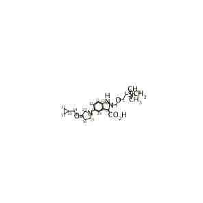 C[Si](C)(C)CCOCN1Nc2ccc(N3CC[C@H](OCC4CC4)C3)cc2C1C(=O)O